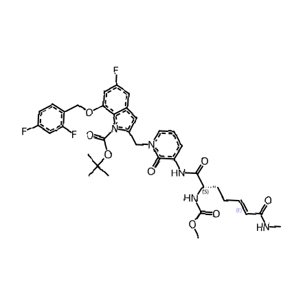 CNC(=O)/C=C/CC[C@H](NC(=O)OC)C(=O)Nc1cccn(Cc2cc3cc(F)cc(OCc4ccc(F)cc4F)c3n2C(=O)OC(C)(C)C)c1=O